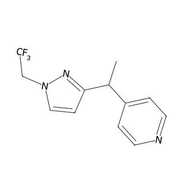 CC(c1ccncc1)c1ccn(CC(F)(F)F)n1